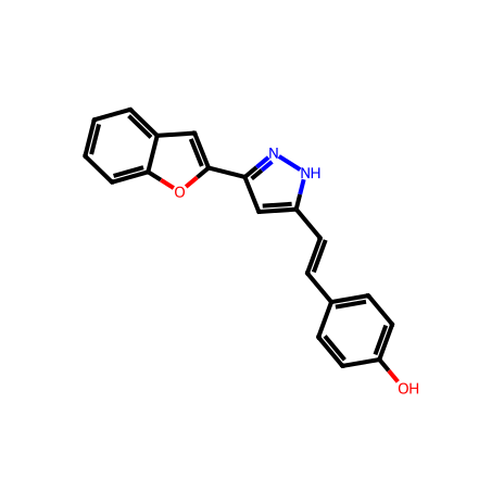 Oc1ccc(C=Cc2cc(-c3cc4ccccc4o3)n[nH]2)cc1